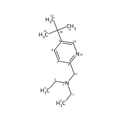 CCN(CC)Cc1ccc(C(C)(C)C)cn1